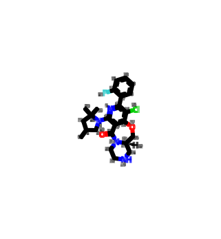 CC1CN(c2nc(-c3ccccc3F)c(Cl)c3c2C(=O)N2CCNC[C@@H]2CO3)C(C)(C)C1